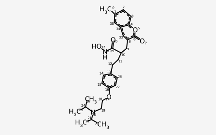 Cc1ccc2oc(=O)c(CC(CCc3ccc(OCCN(C(C)C)C(C)C)cc3)C(=O)NO)cc2c1